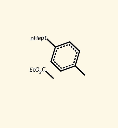 CCCCCCCc1ccc(C)cc1.CCOC(C)=O